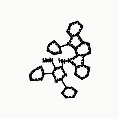 CNc1c(Nn2c3ccccc3c3ccc4c5ccccc5n(-c5ccccc5)c4c32)nc(-c2ccccc2)nc1-c1ccccc1